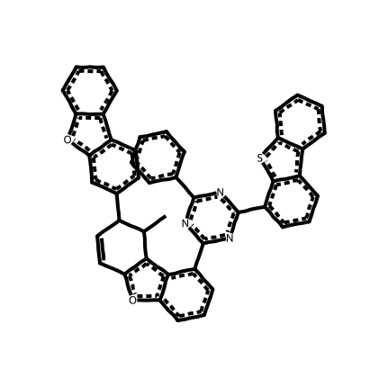 CC1c2c(oc3cccc(-c4nc(-c5ccccc5)nc(-c5cccc6c5sc5ccccc56)n4)c23)C=CC1c1ccc2c(c1)oc1ccccc12